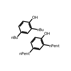 CCCCCc1ccc(O)c(CCCCC)c1.CCCCc1ccc(O)c(CCCC)c1